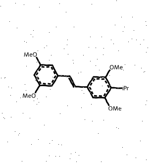 COc1cc(C=Cc2cc(OC)c(C(C)C)c(OC)c2)cc(OC)c1